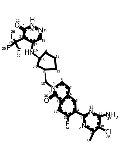 Cc1nc(-c2cc3ccn(C[C@@H]4CCC[C@H](Nc5cn[nH]c(=O)c5C(F)(F)F)C4)c(=O)c3cc2F)nc(N)c1Cl